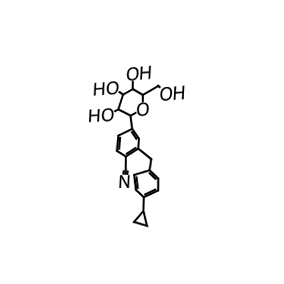 N#Cc1ccc(C2OC(CO)C(O)C(O)C2O)cc1Cc1ccc(C2CC2)cc1